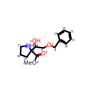 COC(=O)C1(C(O)COCc2ccccc2)CCCN1